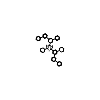 C1=CCCC(c2nc(-c3cc(-c4cccc(-c5ccccc5)c4)cc(C4CC=CCC4)c3)nc(C3C=C(c4ccccc4)C=C(c4cccc(-c5ccccc5)c4)C3)n2)=C1